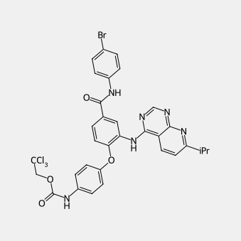 CC(C)c1ccc2c(Nc3cc(C(=O)Nc4ccc(Br)cc4)ccc3Oc3ccc(NC(=O)OCC(Cl)(Cl)Cl)cc3)ncnc2n1